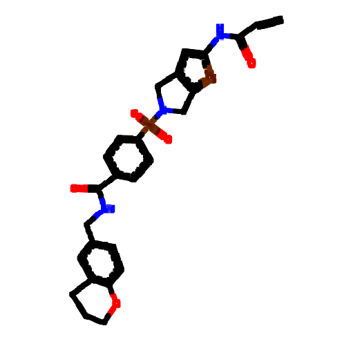 C=CC(=O)Nc1cc2c(s1)CN(S(=O)(=O)c1ccc(C(=O)NCc3ccc4c(c3)CCCO4)cc1)C2